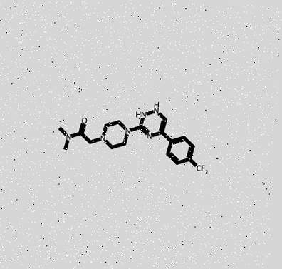 CN(C)C(=O)CN1CCN(C2=NC(c3ccc(C(F)(F)F)cc3)=CNN2)CC1